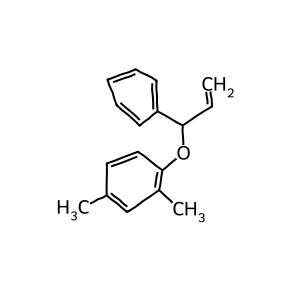 C=CC(Oc1ccc(C)cc1C)c1ccccc1